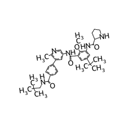 COc1c(NC(=O)C2CCCN2)cc(C(C)(C)C)cc1C(=O)Nc1cnc(C)c(-c2ccc(C(=O)NCC(C)(C)C)cc2)c1